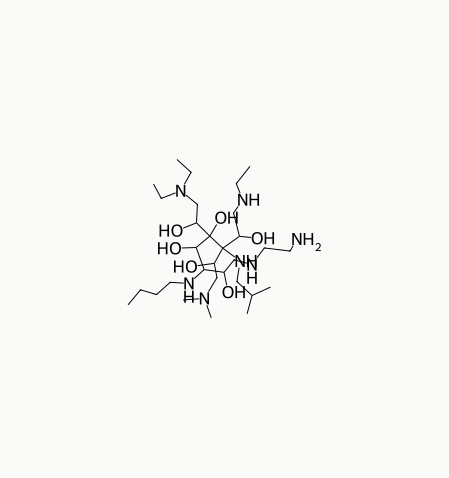 CCCCNC(C(O)CNCCN)C(O)C(O)(C(O)CN(CC)CC)C(NCC(C)C)(C(O)CNCC)C(O)CN(C)C